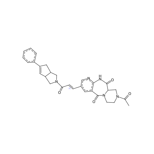 CC(=O)N1CCN2C(=O)c3cc(/C=C/C(=O)N4CC5C=C(c6ccccc6)CC5C4)cnc3NC(=O)C2C1